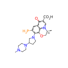 C[C@H]1COc2c(N3CCC(N4CCN(C)CC4)C3)c(P)cc3c(=O)c(C(=O)O)cn1c23